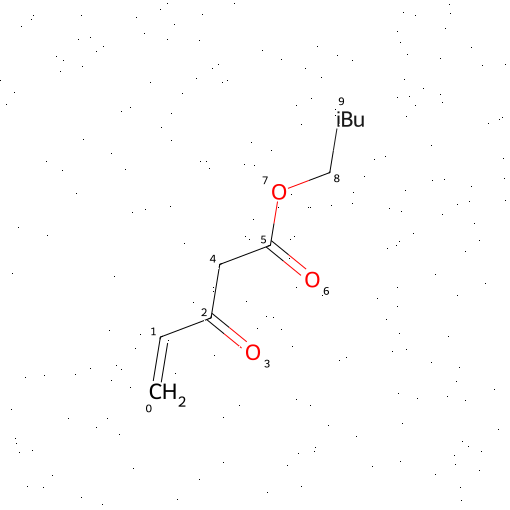 C=CC(=O)CC(=O)OCC(C)CC